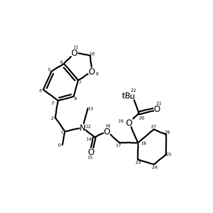 CC(Cc1ccc2c(c1)OCO2)N(C)C(=O)OCC1(OC(=O)C(C)(C)C)CCCCC1